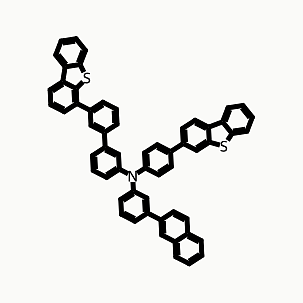 c1cc(-c2cccc(N(c3ccc(-c4ccc5c(c4)sc4ccccc45)cc3)c3cccc(-c4ccc5ccccc5c4)c3)c2)cc(-c2cccc3c2sc2ccccc23)c1